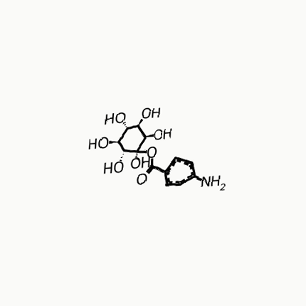 Nc1ccc(C(=O)O[C@]2(O)[C@H](O)[C@H](O)[C@@H](O)[C@H](O)[C@H]2O)cc1